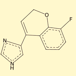 Fc1cccc2c1OCC=C2c1c[nH]cn1